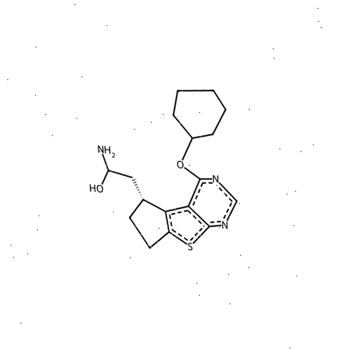 NC(O)C[C@H]1CCc2sc3ncnc(OC4CCCCC4)c3c21